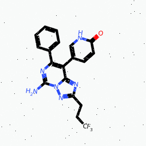 Nc1nc(-c2ccccc2)c(-c2ccc(=O)[nH]c2)c2nc(CCC(F)(F)F)nn12